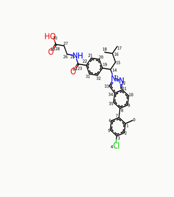 Cc1cc(Cl)ccc1-c1ccc2nn(C(CC(C)C)c3ccc(C(=O)NCCC(=O)O)cc3)cc2c1